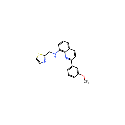 FC(F)(F)Oc1cccc(-c2ccc3cccc(NCc4nccs4)c3n2)c1